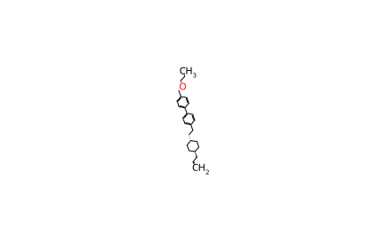 C=CC[C@H]1CC[C@H](CCc2ccc(-c3ccc(COCCC)cc3)cc2)CC1